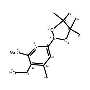 COc1nc(B2OC(C)(C)C(C)(C)O2)cc(C)c1CO